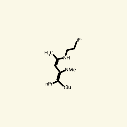 CCC/C(=C(\C=C(\C)NCCC(C)C)NC)C(C)(C)C